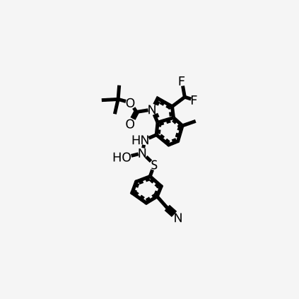 Cc1ccc(NN(O)Sc2cccc(C#N)c2)c2c1c(C(F)F)cn2C(=O)OC(C)(C)C